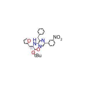 CC(C)(C)OC(=O)/C(=C/c1ccco1)Nc1ncc(-c2cccc([N+](=O)[O-])c2)nc1Cc1ccccc1